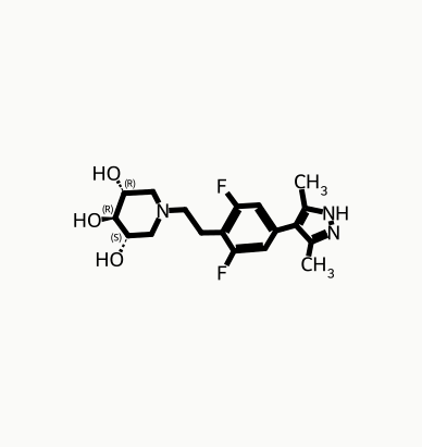 Cc1n[nH]c(C)c1-c1cc(F)c(CCN2C[C@@H](O)[C@H](O)[C@@H](O)C2)c(F)c1